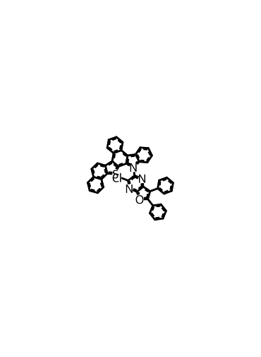 Clc1nc2oc(-c3ccccc3)c(-c3ccccc3)c2nc1-n1c2ccccc2c2c3ccccc3c3c4ccc5ccccc5c4sc3c21